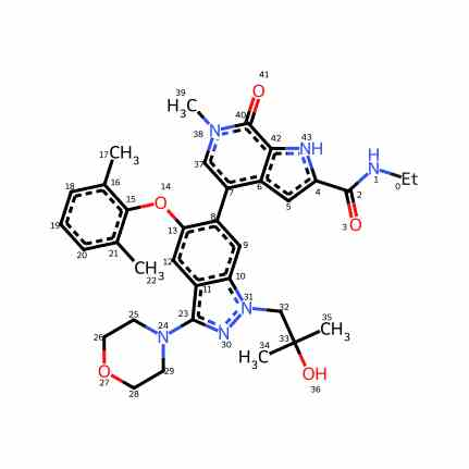 CCNC(=O)c1cc2c(-c3cc4c(cc3Oc3c(C)cccc3C)c(N3CCOCC3)nn4CC(C)(C)O)cn(C)c(=O)c2[nH]1